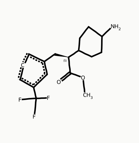 COC(=O)[C@@H](Cc1cccc(C(F)(F)F)c1)C1CCC(N)CC1